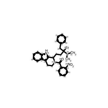 CCC(CCC1c2[nH]c3ccccc3c2CCN1C(=O)c1ccccc1[N+](=O)[O-])(Cc1ccccc1)N(C)C